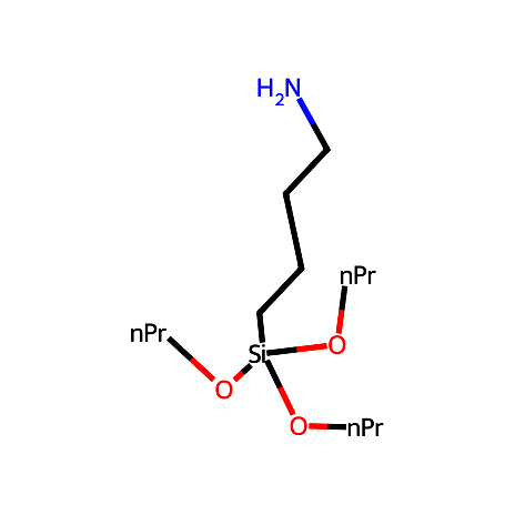 CCCO[Si](CCCCN)(OCCC)OCCC